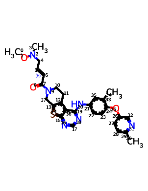 CON(C)C/C=C/C(=O)N1CCc2c(sc3ncnc(Nc4ccc(Oc5ccc(C)nc5)c(C)c4)c23)C1